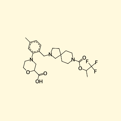 Cc1ccc(CN2CCC3(CCN(C(=O)OC(C)C(F)(F)F)CC3)C2)c(N2CCOC(C(=O)O)C2)c1